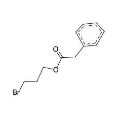 O=C(Cc1ccccc1)OCCCBr